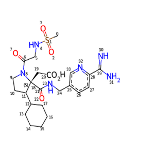 CS(=O)(=O)NCC(=O)N1CCC(C2CCCCC2)[C@@]1(CC(=O)O)C(=O)NCc1ccc(C(=N)N)nc1